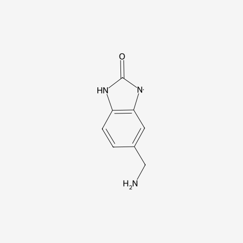 NCc1ccc2c(c1)[N]C(=O)N2